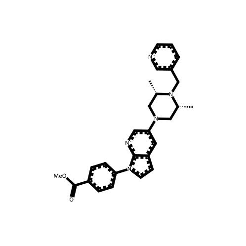 COC(=O)c1ccc(-n2ccc3cc(N4C[C@@H](C)N(Cc5cccnc5)[C@@H](C)C4)cnc32)cc1